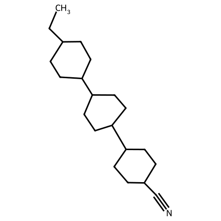 CCC1CCC(C2CCC(C3CCC(C#N)CC3)CC2)CC1